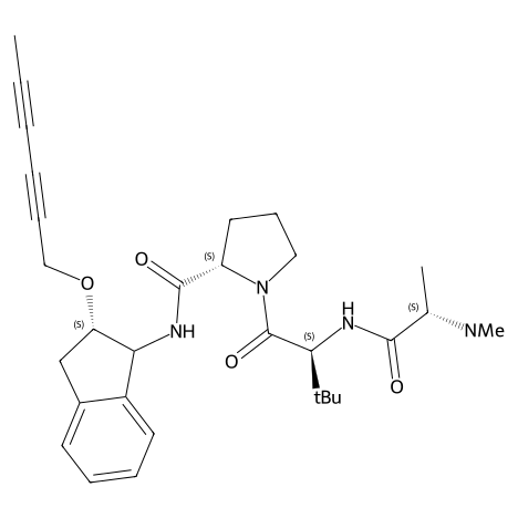 CC#CC#CCO[C@H]1Cc2ccccc2C1NC(=O)[C@@H]1CCCN1C(=O)[C@@H](NC(=O)[C@H](C)NC)C(C)(C)C